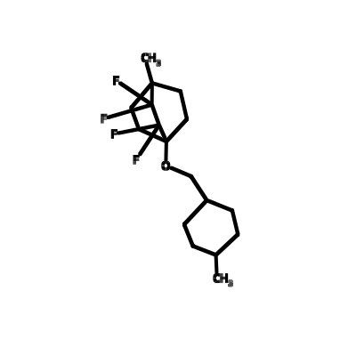 CC1CCC(COC23CCC(C)(CC2)C(F)(F)C3(F)F)CC1